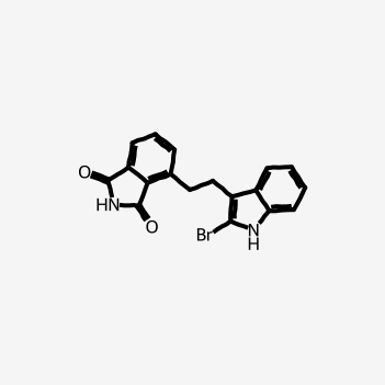 O=C1NC(=O)c2c(CCc3c(Br)[nH]c4ccccc34)cccc21